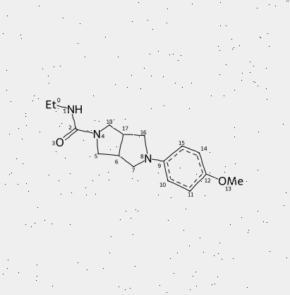 CCNC(=O)N1CC2CN(c3ccc(OC)cc3)CC2C1